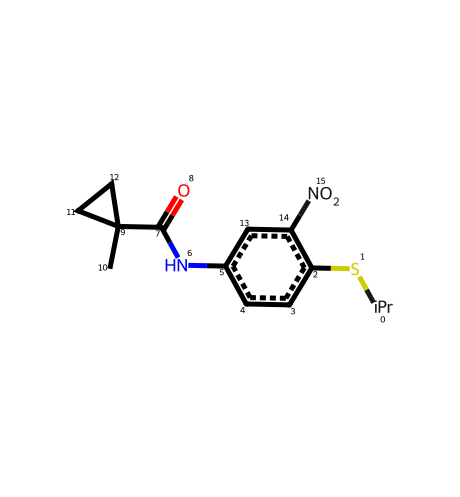 CC(C)Sc1ccc(NC(=O)C2(C)CC2)cc1[N+](=O)[O-]